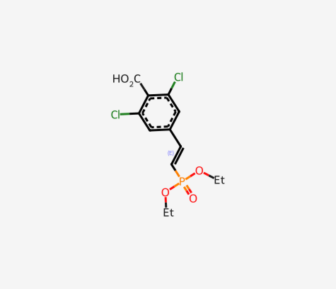 CCOP(=O)(/C=C/c1cc(Cl)c(C(=O)O)c(Cl)c1)OCC